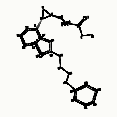 CCC(=O)NC[C@@H]1C[C@H]1c1cccc2oc(CCCCc3ccccc3)cc12